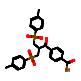 Cc1ccc(S(=O)(=O)CC(CS(=O)(=O)c2ccc(C)cc2)C(=O)c2ccc(C(=O)S)cc2)cc1